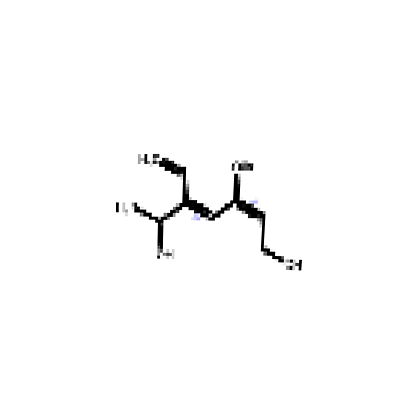 C=C/C(=C\C(=C/CO)OCC(C)C)C(N)O